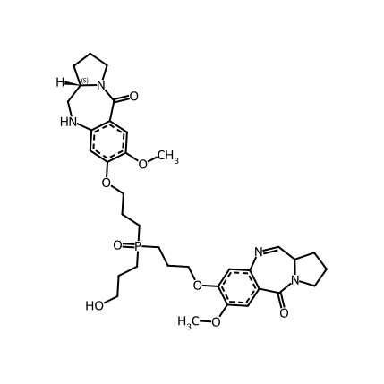 COc1cc2c(cc1OCCCP(=O)(CCCO)CCCOc1cc3c(cc1OC)C(=O)N1CCC[C@H]1CN3)N=CC1CCCN1C2=O